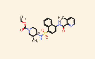 CCOC(=O)N1CC[C@@H](NS(=O)(=O)c2ccc(NC(=O)c3ncccc3C)c3ccccc23)[C@@H](C)C1